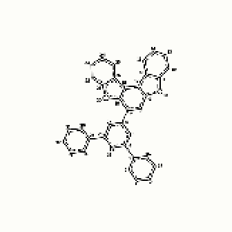 c1ccc(-c2cc(-c3cc4oc5ccccc5c4c4c3oc3ccccc34)cc(-c3ccccc3)n2)cc1